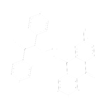 CCCCOC(C(=O)c1ccccc1)c1ccccc1.Cc1ccc2c(c1)C(=O)c1ccccc1C2=O